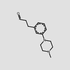 CN1CCN(c2cccc(CC[C]=O)c2)CC1